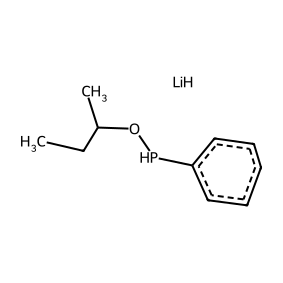 CCC(C)OPc1ccccc1.[LiH]